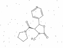 CN1C(=O)OC(c2ccncc2)[C@@H]1C(=O)N1CCCC1